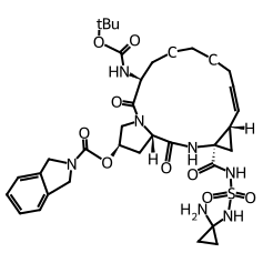 CC(C)(C)OC(=O)N[C@H]1CCCCC/C=C\[C@@H]2C[C@@]2(C(=O)NS(=O)(=O)NC2(N)CC2)NC(=O)[C@@H]2C[C@@H](OC(=O)N3Cc4ccccc4C3)CN2C1=O